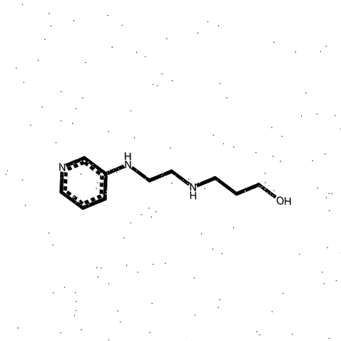 OCCCNCCNc1cccnc1